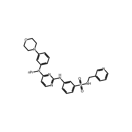 CCCN(c1cccc(N2CCOCC2)c1)c1ccnc(Nc2cccc(S(=O)(=O)NCc3cccnc3)c2)n1